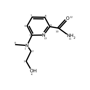 CN(CCO)c1cc[c]c(C(N)=O)n1